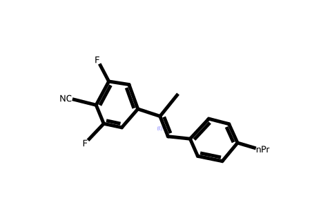 CCCc1ccc(/C=C(\C)c2cc(F)c(C#N)c(F)c2)cc1